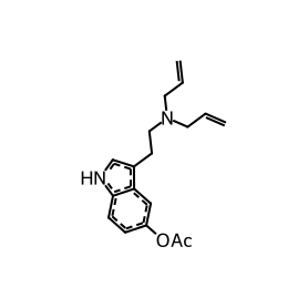 C=CCN(CC=C)CCc1c[nH]c2ccc(OC(C)=O)cc12